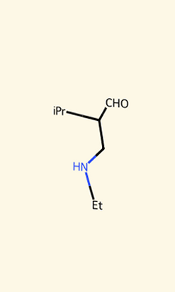 CCNCC(C=O)C(C)C